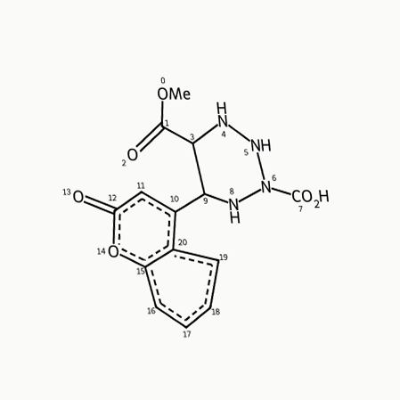 COC(=O)C1NNN(C(=O)O)NC1c1cc(=O)oc2ccccc12